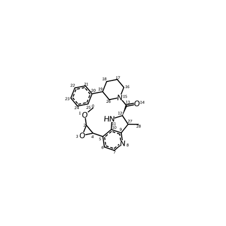 COC1OC1c1ccnc2c1N[C@@H](C(=O)N1CCCC(c3ccccc3)C1)C2C